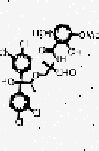 COc1cc[n+](O)c(C(=O)NC(C)(C=O)CO[C@@H](C)C(O)(c2ccc(Cl)c(Cl)c2)c2ccc(Cl)c(Cl)c2)c1O